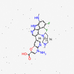 CNc1cc(F)c(F)c2c1[nH]c1ncc(-c3cnc4c(c3)OC(C(=O)O)=CN4N)c(N3CC[C@H]4CN(C)C[C@H]43)c12